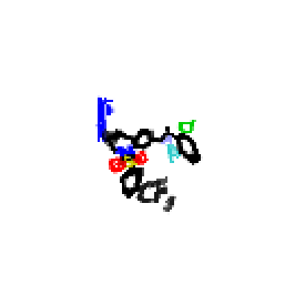 C/C(=C\c1ccc2c(c1)N(S(=O)(=O)c1cccc(C(F)(F)F)c1)C[C@H](N=[N+]=[N-])C2)c1c(F)cccc1Cl